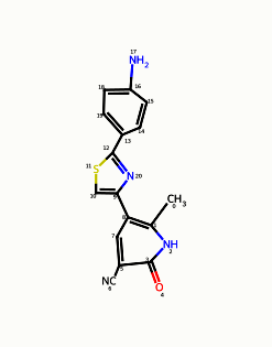 Cc1[nH]c(=O)c(C#N)cc1-c1csc(-c2ccc(N)cc2)n1